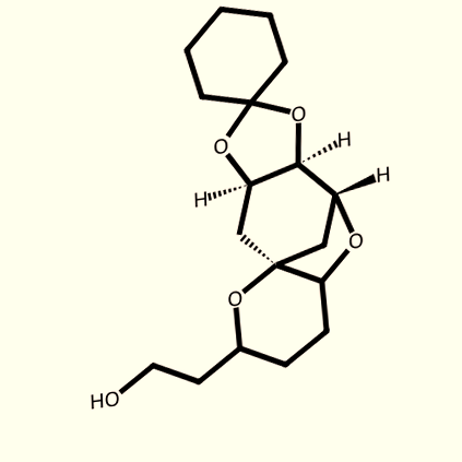 OCCC1CCC2O[C@@H]3C[C@]2(C[C@H]2OC4(CCCCC4)O[C@@H]32)O1